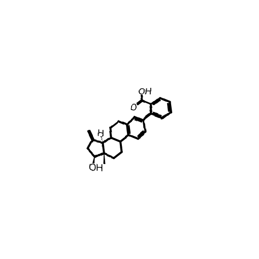 C=C1C[C@H](O)[C@@]2(C)CCC3c4ccc(-c5ccccc5C(=O)O)cc4CCC3[C@H]12